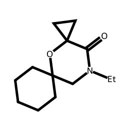 CCN1CC2(CCCCC2)OC2(CC2)C1=O